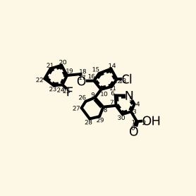 O=C(O)c1cncc(C2=C(c3cc(Cl)ccc3OCc3ccccc3F)CCCC2)c1